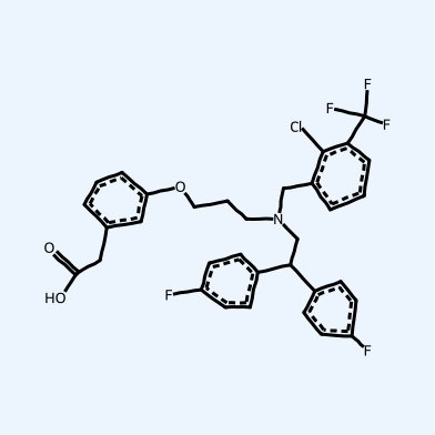 O=C(O)Cc1cccc(OCCCN(Cc2cccc(C(F)(F)F)c2Cl)CC(c2ccc(F)cc2)c2ccc(F)cc2)c1